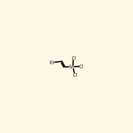 CCC=[CH][Sn]([Cl])([Cl])[Cl]